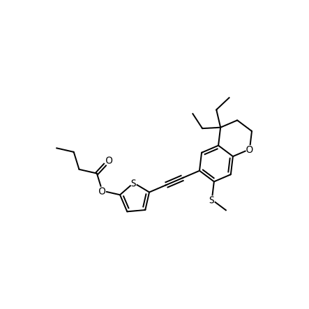 CCCC(=O)Oc1ccc(C#Cc2cc3c(cc2SC)OCCC3(CC)CC)s1